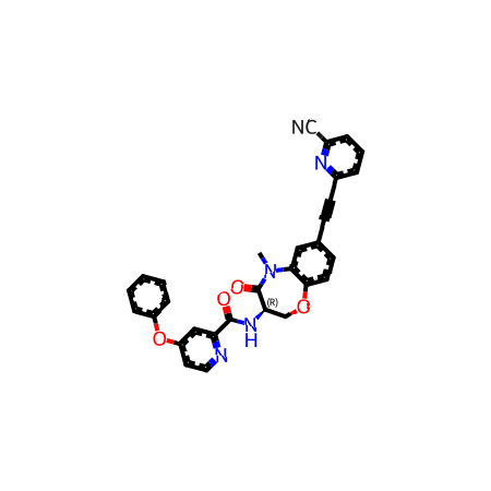 CN1C(=O)[C@H](NC(=O)c2cc(Oc3ccccc3)ccn2)COc2ccc(C#Cc3cccc(C#N)n3)cc21